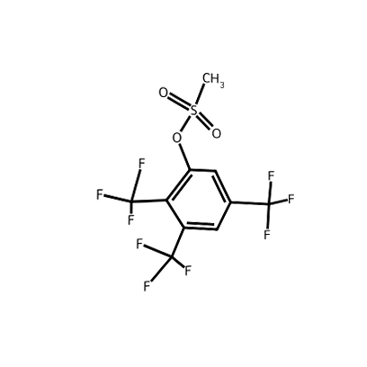 CS(=O)(=O)Oc1cc(C(F)(F)F)cc(C(F)(F)F)c1C(F)(F)F